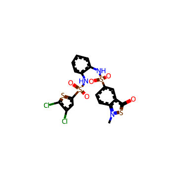 Cn1sc(=O)c2cc(S(=O)(=O)Nc3ccccc3NS(=O)(=O)c3cc(Cl)c(Cl)s3)ccc21